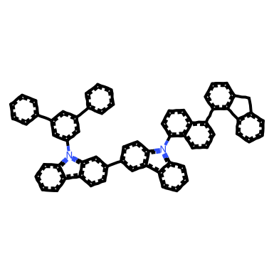 c1ccc(-c2cc(-c3ccccc3)cc(-n3c4ccccc4c4ccc(-c5ccc6c(c5)c5ccccc5n6-c5cccc6c(-c7cccc8c7-c7ccccc7C8)cccc56)cc43)c2)cc1